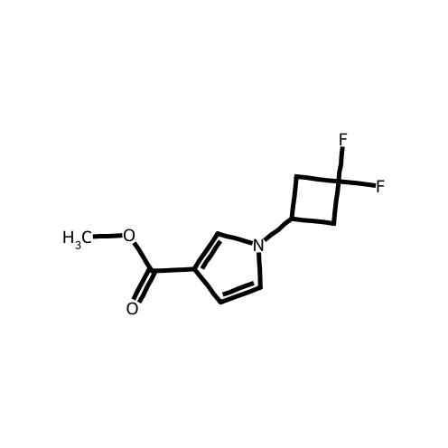 COC(=O)c1ccn(C2CC(F)(F)C2)c1